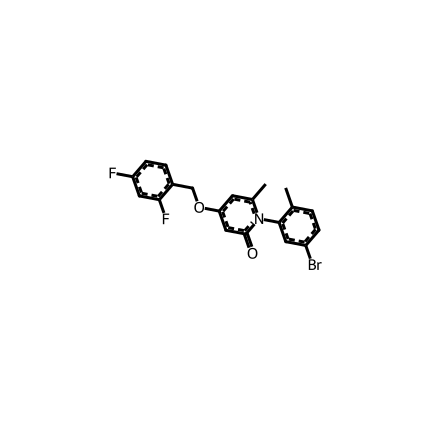 Cc1ccc(Br)cc1-n1c(C)cc(OCc2ccc(F)cc2F)cc1=O